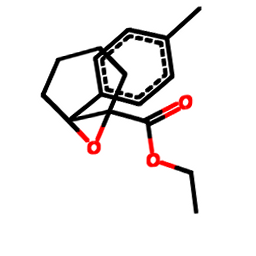 CCOC(=O)C12CCCCC1(c1ccc(C)cc1)O2